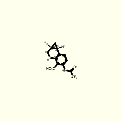 O=C(O)c1c(NC(=O)C(F)(F)F)ccc2c1OC[C@@H]1C[C@H]21